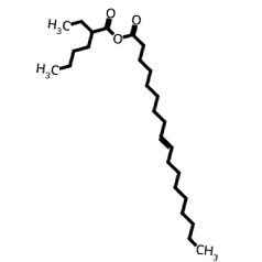 CCCCCCCCC=CCCCCCCCC(=O)OC(=O)C(CC)CCCC